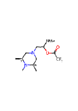 CNC(CN1C[C@@H](C)N(C)[C@@H](C)C1)OC(=O)C(F)(F)F